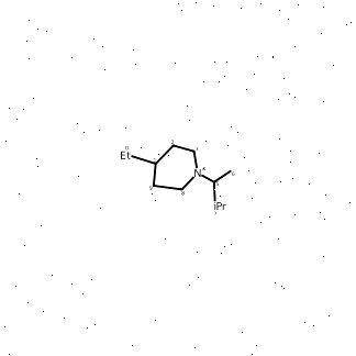 CCC1CCN(C(C)C(C)C)CC1